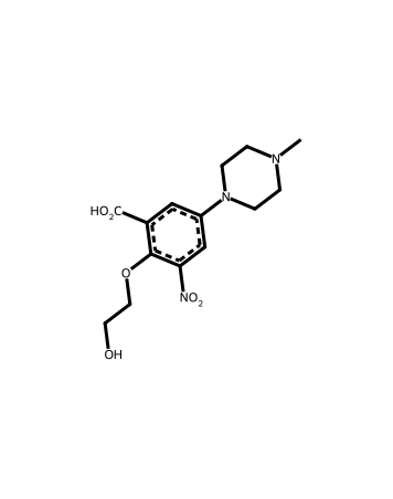 CN1CCN(c2cc(C(=O)O)c(OCCO)c([N+](=O)[O-])c2)CC1